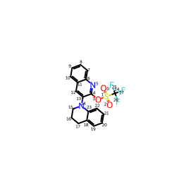 O=S(=O)(Oc1nc2ccccc2cc1N1CCCc2ccccc21)C(F)(F)F